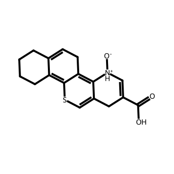 O=C(O)C1=C[NH+]([O-])C2=C3CC=C4CCCCC4=C3SC=C2C1